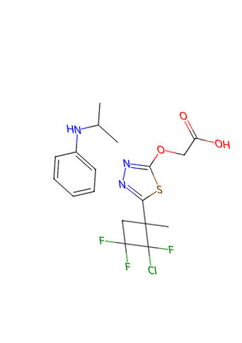 CC(C)Nc1ccccc1.CC1(c2nnc(OCC(=O)O)s2)CC(F)(F)C1(F)Cl